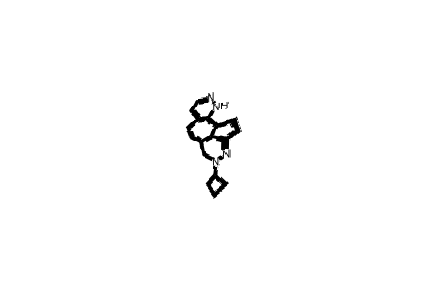 C1=NNc2c3ccc4c-3c(ccc2=C1)CN(C1CCC1)N=4